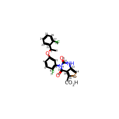 CC(Oc1ccc(F)c(-n2c(=O)[nH]c3csc(C(=O)O)c3c2=O)c1)c1ccccc1F